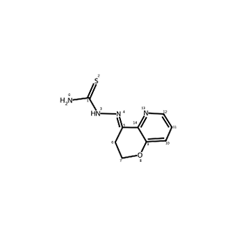 NC(=S)NN=C1CCOc2cccnc21